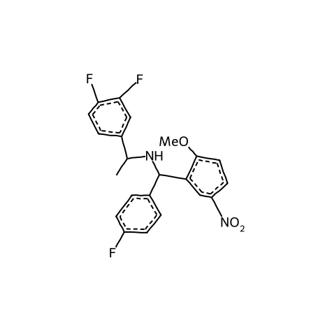 COc1ccc([N+](=O)[O-])cc1C(NC(C)c1ccc(F)c(F)c1)c1ccc(F)cc1